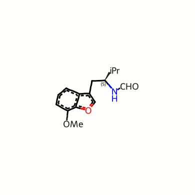 COc1cccc2c(C[C@H](NC=O)C(C)C)coc12